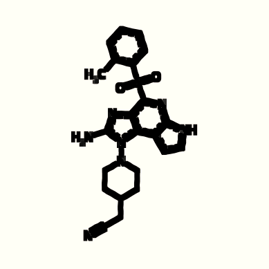 Cc1ccccc1S(=O)(=O)c1nc2[nH]ccc2c2c1nc(N)n2N1CCC(CC#N)CC1